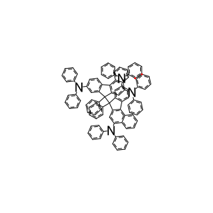 c1ccc(N(c2ccccc2)c2ccc3c(c2)C(c2ccccc2)(C2(c4ccccc4)c4cc(N(c5ccccc5)c5ccccc5)ccc4-c4c2cc(N(c2ccccc2)c2ccccc2)c2ccccc42)c2cc(N(c4ccccc4)c4ccccc4)c4ccccc4c2-3)cc1